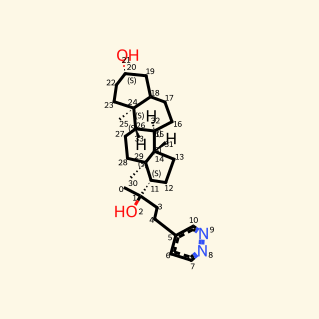 CC(O)(CCc1ccnnc1)[C@H]1CC[C@H]2[C@@H]3CCC4C[C@@H](O)CC[C@]4(C)[C@H]3CC[C@]12C